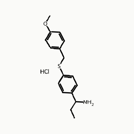 CCC(N)c1ccc(SCc2ccc(OC)cc2)cc1.Cl